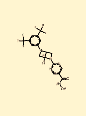 O=C(NO)c1cnc(N2CC3[C@H]2CN3c2cc(C(F)(F)F)cc(C(F)(F)F)c2)nc1